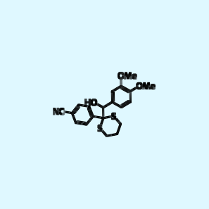 COc1ccc(C(O)C2(c3ccc(C#N)cc3)SCCCS2)cc1OC